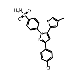 Cc1csc(-c2cc(-c3ccc(Cl)cc3)nn2-c2ccc(S(N)(=O)=O)cc2)c1